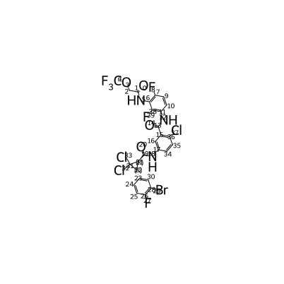 O=C(COC(F)(F)F)Nc1c(F)ccc(NC(=O)c2cc(NC(=O)[C@H]3[C@H](c4ccc(F)c(Br)c4)C3(Cl)Cl)ccc2Cl)c1F